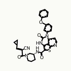 N#C/C(=C\C1CC1)C(=O)N1CCC[C@@H](NC(=O)c2sc3nccc4c3c2NC(=O)N4c2cccc(Oc3ccccc3)c2)C1